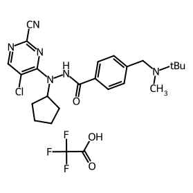 CN(Cc1ccc(C(=O)NN(c2nc(C#N)ncc2Cl)C2CCCC2)cc1)C(C)(C)C.O=C(O)C(F)(F)F